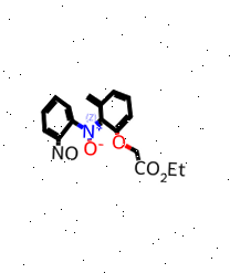 C=C1C=CC=C(OCC(=O)OCC)/C1=[N+](\[O-])c1ccccc1N=O